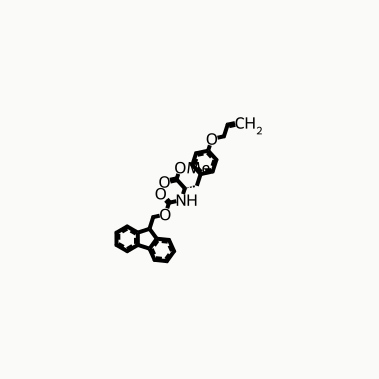 C=CCOc1ccc(C[C@H](NC(=O)OCC2c3ccccc3-c3ccccc32)C(=O)OC)cc1